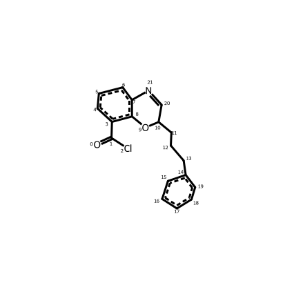 O=C(Cl)c1cccc2c1OC(CCCc1ccccc1)C=N2